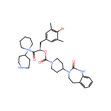 Cc1cc(C[C@@H](OC(=O)N2CCC(N3CCc4ccccc4NC3=O)CC2)C(=O)[N+]2(C3CCNCC3)CCCCC2)cc(C)c1Br